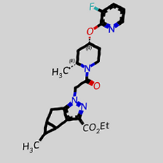 CCOC(=O)c1nn(CC(=O)N2CC[C@@H](Oc3ncccc3F)C[C@H]2C)c2c1C1C(C)C1C2